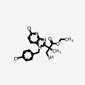 CCOC(=O)C(C)(CS)c1nc2nc(Cl)ccc2n1Cc1ccc(Cl)cc1